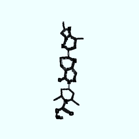 Cc1cn2nc(-c3ccc4c(=O)n(C5CC(C)N(C(=O)OC(C)(C)C)C(C)C5)ncc4n3)cc(C)c2n1